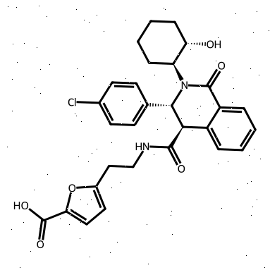 O=C(O)c1ccc(CCNC(=O)[C@@H]2c3ccccc3C(=O)N([C@H]3CCCC[C@@H]3O)[C@H]2c2ccc(Cl)cc2)o1